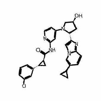 O=C(Nc1cc(N2C[C@@H](O)C[C@@H]2c2cn3cc(C4CC4)ccc3n2)ccn1)[C@H]1C[C@@H]1c1cccc(Cl)c1